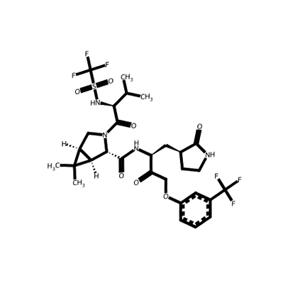 CC(C)[C@H](NS(=O)(=O)C(F)(F)F)C(=O)N1C[C@H]2[C@@H]([C@H]1C(=O)N[C@@H](C[C@@H]1CCNC1=O)C(=O)COc1cccc(C(F)(F)F)c1)C2(C)C